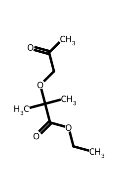 CCOC(=O)C(C)(C)OCC(C)=O